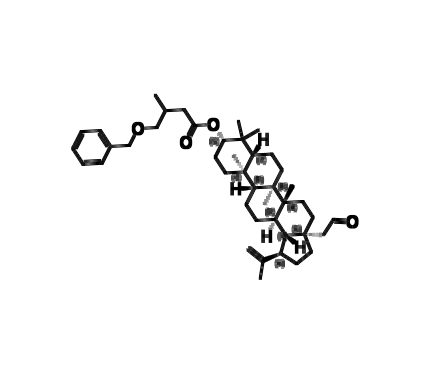 C=C(C)[C@@H]1CC[C@]2(CC=O)CC[C@]3(C)[C@H](CC[C@@H]4[C@@]5(C)CC[C@H](OC(=O)CC(C)COCc6ccccc6)C(C)(C)[C@@H]5CC[C@]43C)[C@@H]12